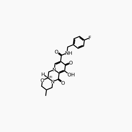 CC1CO[C@@H]2Cn3cc(C(=O)NCc4ccc(F)cc4)c(=O)c(O)c3C(=O)N2C1